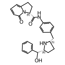 O=C(Nc1ccc(C[C@@H]2CC[C@H](C(O)c3ccccc3)N2)cc1)[C@H]1CCc2cccc(=O)n21